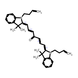 C=CCCN1/C(=C/C=C/C(=O)/C=C/C=C2/N(CCC=C)c3ccccc3C2(C)C)C(C)(C)c2ccccc21